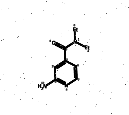 CCN(CC)C(=O)c1ccnc(N)c1